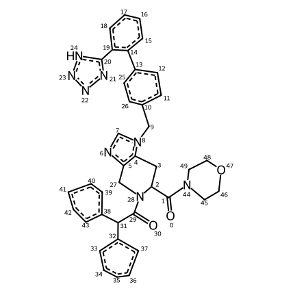 O=C(C1Cc2c(ncn2Cc2ccc(-c3ccccc3-c3nnn[nH]3)cc2)CN1C(=O)C(c1ccccc1)c1ccccc1)N1CCOCC1